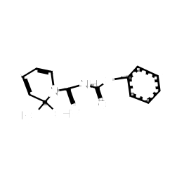 CC1(C)C=CC=CN1C(=O)NC(=O)Oc1ccccc1